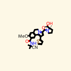 COc1cc2c(cc1C(=O)NC(C)(C)C#N)-c1c(-c3cccs3)cc(C(=O)N3CCC[C@]3(C)[C@@H](C)O)n1CC2